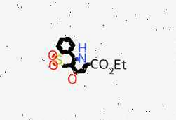 CCOC(=O)c1cc(=O)c2c([nH]1)-c1ccccc1S(=O)(=O)C2